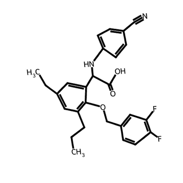 CCCc1cc(CC)cc(C(Nc2ccc(C#N)cc2)C(=O)O)c1OCc1ccc(F)c(F)c1